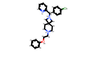 Clc1ccc([C@H](c2ccccn2)N2CC3(CCN(CCOc4ccccc4)CC3)C2)cc1